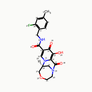 Cc1ccc(CNC(=O)c2cn3c(c(O)c2=O)C(=O)N2CCOC[C@@H]3C2)c(F)c1